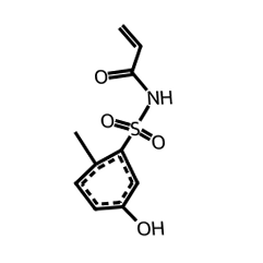 C=CC(=O)NS(=O)(=O)c1cc(O)ccc1C